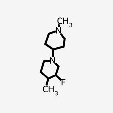 CC1CCN(C2CCN(C)CC2)CC1F